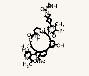 CCn1c(-c2cccnc2[C@H](C)OC)c2c3cc(ccc31)-c1cc(O)cc(c1)C[C@H](NC(=O)C(C(C)C)N(C)C(=O)C1CC3(C1)CN(C(=O)[C@@H]1CN1)C3)C(=O)N1CCC[C@H](N1)C(=O)OCC(C)(C)C2